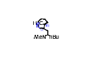 CCCCC(CC1=C/N=C\CC\C=C\1C)NC